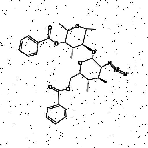 CC1OC(C)[C@@H](O[C@H]2OC(COC(=O)c3ccccc3)[C@@H](C)[C@H](C)C2N=[N+]=[N-])[C@H](C)C1OC(=O)c1ccccc1